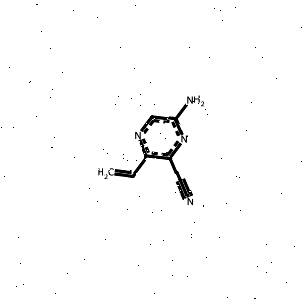 C=Cc1ncc(N)nc1C#N